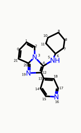 c1ccn2c(NC3CCCCC3)c(-c3ccncc3)nc2c1